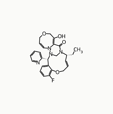 CC[C@@H]1/C=C/COc2c(F)cccc2[C@H](c2ccccn2)N2CN1C(=O)/C1=C(\O)COC/C=C\N12